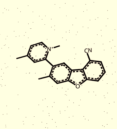 Cc1cc[n+](C)c(-c2cc3c(cc2C)oc2cccc(C#N)c23)c1